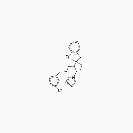 CCC(C)(Cc1ccccc1Cl)C(CCCc1cccc(Cl)c1)Cn1ccnc1